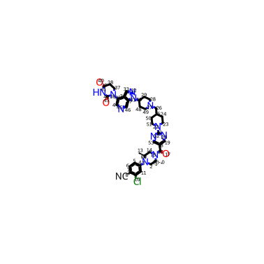 C[C@@H]1CN(c2ccc(C#N)c(Cl)c2)[C@@H](C)CN1C(=O)c1cnc(N2CCC(CN3CCC(n4ncc5c(N6CCC(=O)NC6=O)cncc54)CC3)CC2)nc1